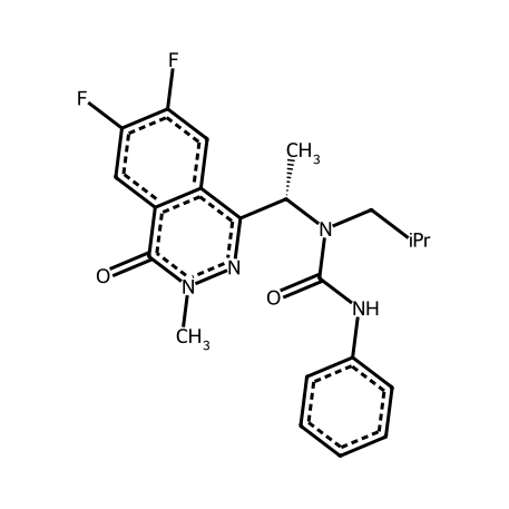 CC(C)CN(C(=O)Nc1ccccc1)[C@@H](C)c1nn(C)c(=O)c2cc(F)c(F)cc12